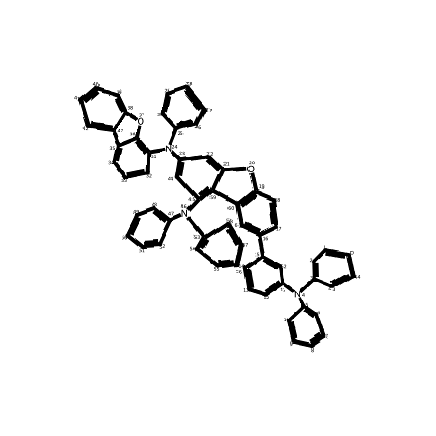 c1ccc(N(c2ccccc2)c2cccc(-c3ccc4oc5cc(N(c6ccccc6)c6cccc7c6oc6ccccc67)cc(N(c6ccccc6)c6ccccc6)c5c4c3)c2)cc1